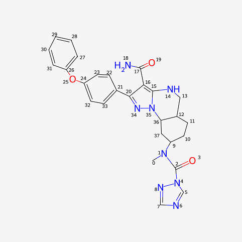 CN(C(=O)n1cncn1)C1CCC2CNc3c(C(N)=O)c(-c4ccc(Oc5ccccc5)cc4)nn3C2C1